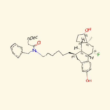 CCCCCCCCCCCC(=O)N(CCCCCC[C@@H]1Cc2cc(O)ccc2[C@@H]2[C@@H]1[C@@H]1CC[C@H](O)[C@@]1(C)C[C@@H]2F)Cc1ccccc1